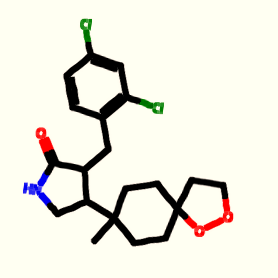 CC1(C2CNC(=O)C2Cc2ccc(Cl)cc2Cl)CCC2(CCOO2)CC1